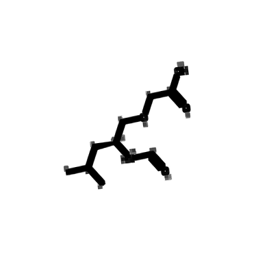 CC(C)C[C@@H](COCC(=O)O)NC=O